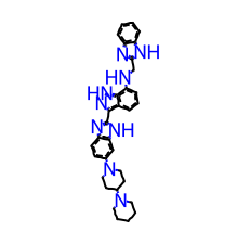 c1ccc2[nH]c(CNc3cccc4c(-c5nc6ccc(N7CCC(N8CCCCC8)CC7)cc6[nH]5)n[nH]c34)nc2c1